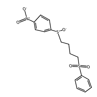 O=[N+]([O-])c1ccc([S+]([O-])CCCCS(=O)(=O)c2ccccc2)cc1